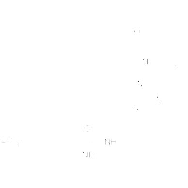 CCOC(=O)c1ccc(NC(=O)NC2CCN(c3nc(N4CCOCC4)c4sccc4n3)CC2)cc1